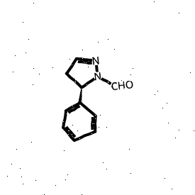 O=CN1N=CC[C@@H]1c1ccccc1